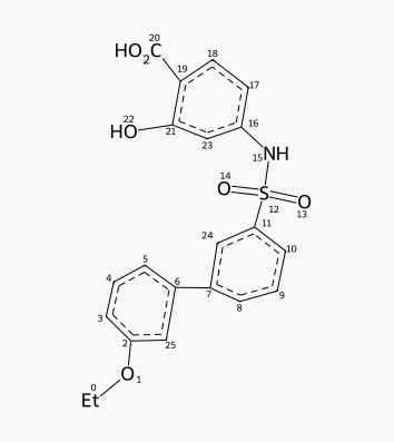 CCOc1cccc(-c2cccc(S(=O)(=O)Nc3ccc(C(=O)O)c(O)c3)c2)c1